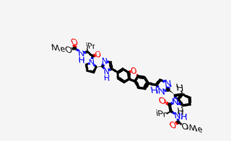 COC(=O)N[C@H](C(=O)N1CCC[C@H]1c1ncc(-c2ccc3c(c2)oc2cc(C4CN=C([C@@H]5[C@H]6CC[C@H](C6)N5C(=O)[C@@H](NC(=O)OC)C(C)C)N4)ccc23)[nH]1)C(C)C